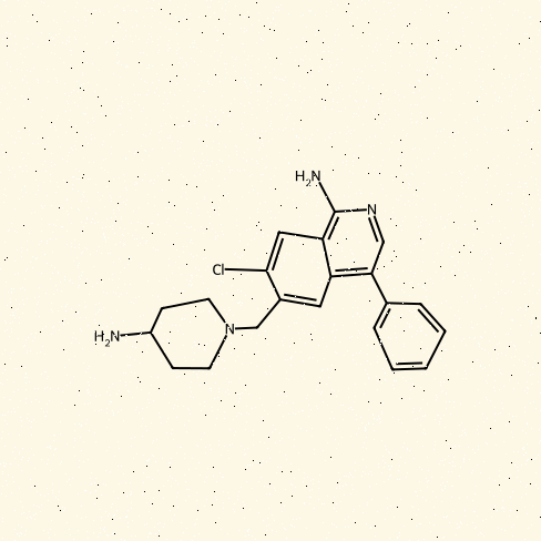 Nc1ncc(-c2ccccc2)c2cc(CN3CCC(N)CC3)c(Cl)cc12